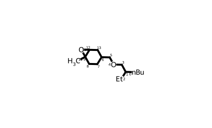 CCCCC(CC)COCC1CCC2(C)OC2C1